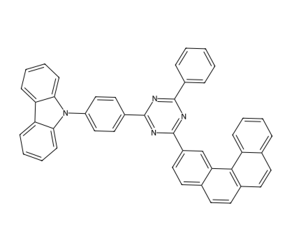 c1ccc(-c2nc(-c3ccc(-n4c5ccccc5c5ccccc54)cc3)nc(-c3ccc4ccc5ccc6ccccc6c5c4c3)n2)cc1